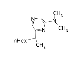 CCCCCCC(C)c1cncc(N(C)C)n1